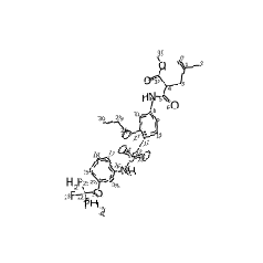 C=C(C)CC(C(=O)Nc1ccc(S(=O)(=O)Nc2cccc(OC(F)(P)P)c2)c(OCC)c1)C(=O)OC